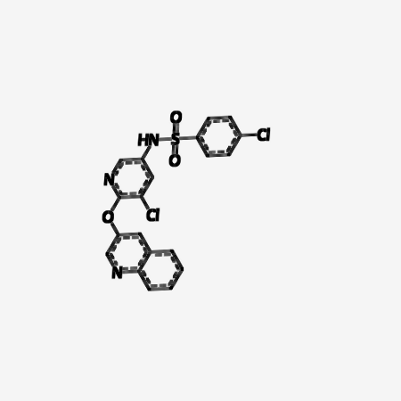 O=S(=O)(Nc1cnc(Oc2cnc3ccccc3c2)c(Cl)c1)c1ccc(Cl)cc1